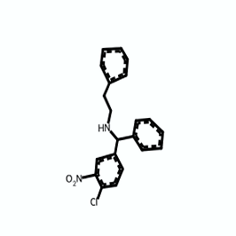 O=[N+]([O-])c1cc(C(NCCc2ccccc2)c2ccccc2)ccc1Cl